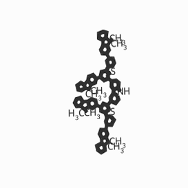 CC1(C)c2ccccc2-c2ccc(-c3ccc4sc5c(-c6ccc7[nH]c8ccc(-c9cc(-c%10ccc%11c(c%10)C(C)(C)c%10ccccc%10-%11)cc%10c9sc9ccc(-c%11ccc%12c(c%11)C(C)(C)c%11ccccc%11-%12)cc9%10)cc8c7c6)cc(-c6ccc7c(c6)C(C)(C)c6ccccc6-7)cc5c4c3)cc21